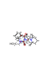 O=C(O)Cn1c(=O)n([C@@H]2C[C@H]3CCC[C@@H](C2)N3[C@H]2C[C@@H]3CCCC[C@@H](C3)C2)c(=O)c2ccccc21